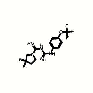 N=C(NC(=N)N1CCC(F)(F)C1)Nc1ccc(OC(F)(F)F)cc1